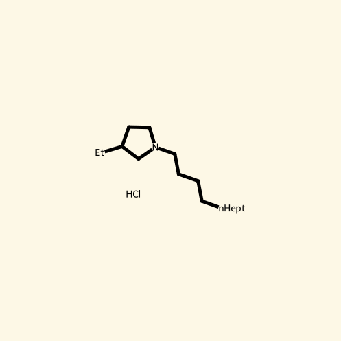 CCCCCCCCCCCN1CCC(CC)C1.Cl